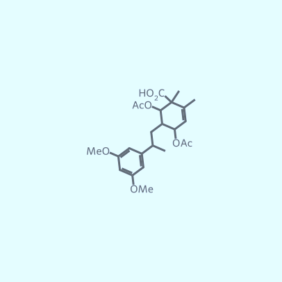 COc1cc(OC)cc(C(C)CC2C(OC(C)=O)C=C(C)C(C)(C(=O)O)C2OC(C)=O)c1